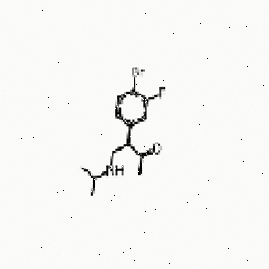 CC(=O)C(CNC(C)C)c1ccc(Br)c(F)c1